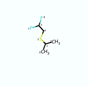 C[C](C)SCC(F)F